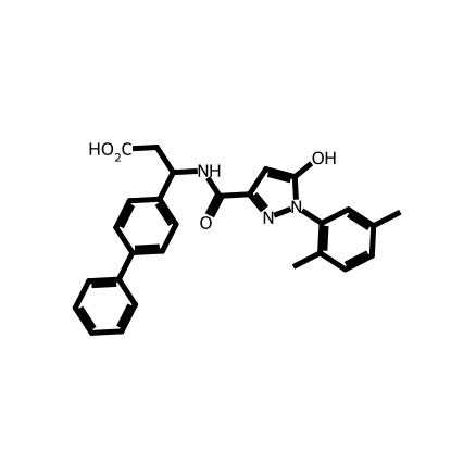 Cc1ccc(C)c(-n2nc(C(=O)NC(CC(=O)O)c3ccc(-c4ccccc4)cc3)cc2O)c1